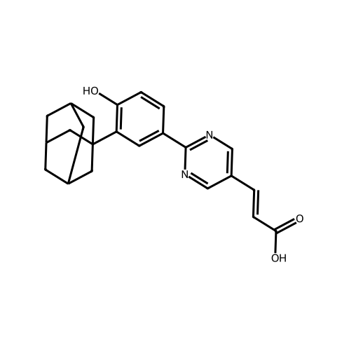 O=C(O)C=Cc1cnc(-c2ccc(O)c(C34CC5CC(CC(C5)C3)C4)c2)nc1